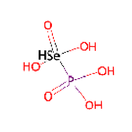 O=P(O)(O)[SeH](=O)(O)O